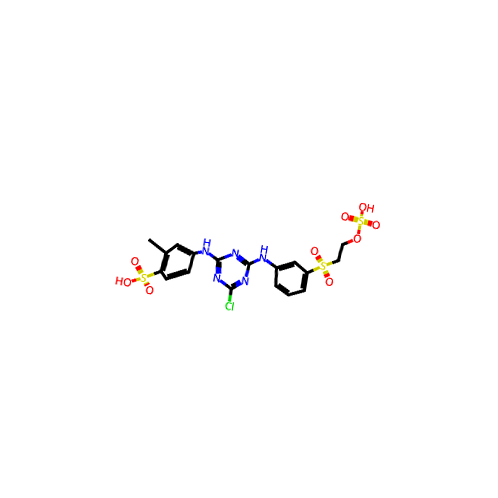 Cc1cc(Nc2nc(Cl)nc(Nc3cccc(S(=O)(=O)CCOS(=O)(=O)O)c3)n2)ccc1S(=O)(=O)O